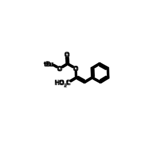 CC(C)(C)OC(=O)OC(=Cc1ccccc1)C(=O)O